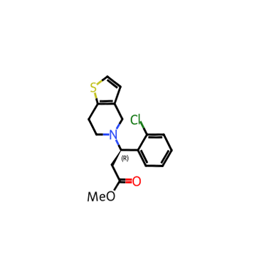 COC(=O)C[C@H](c1ccccc1Cl)N1CCc2sccc2C1